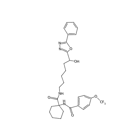 O=C(NC1(C(=O)NCCCCCC(O)c2nnc(-c3ccccc3)o2)CCCCC1)c1ccc(OC(F)(F)F)cc1